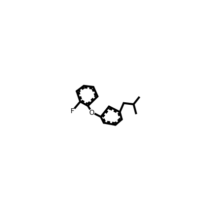 CC(C)Cc1cccc(Oc2ccccc2F)c1